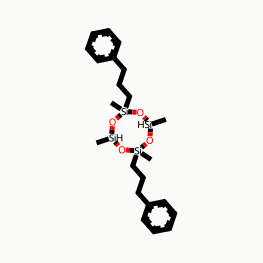 C[SiH]1O[Si](C)(CCCc2ccccc2)O[SiH](C)O[Si](C)(CCCc2ccccc2)O1